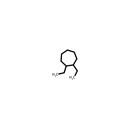 CCC1CCCCCC1CC